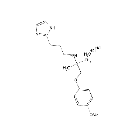 COc1ccc(OCC(C)(C)NCCCc2ncc[nH]2)cc1.Cl.Cl.O